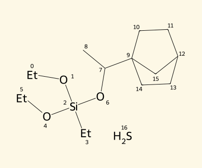 CCO[Si](CC)(OCC)OC(C)C12CCC(CC1)C2.S